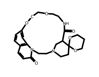 O=C1NCCOCCOc2ccc3ccc(=O)n(c3c2)CCN2CCC3(OCCCO3)C1C2